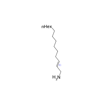 CCCCCCCCCCCC/C=C/CN